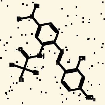 CCN(CC)c1ccc(N=Nc2ccc([N+](=O)[O-])cc2C#N)c(NC(=O)C(CC)(CC)CC)c1